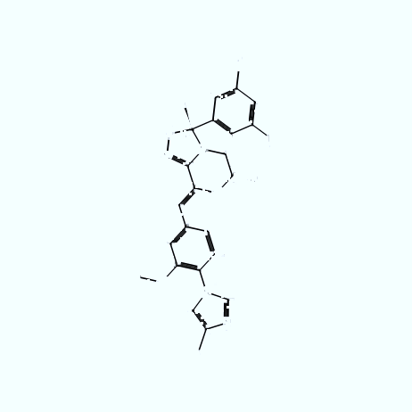 COc1cc(/C=C2\O[C@@H](C)CN3C2=NO[C@]3(C)c2cc(F)cc(F)c2)ccc1-n1cnc(C)c1